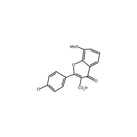 COc1cccc2c(=O)c(C(=O)O)c(-c3ccc(Cl)cc3)oc12